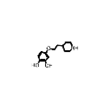 Oc1ccc(OCCC2CCNCC2)cc1O